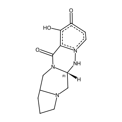 O=C1c2c(O)c(=O)ccn2N[C@@H]2CN3CCCC3CN12